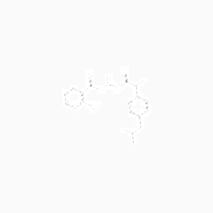 CC(C)Cc1ccc(C(C)C(=O)ONOC(=O)c2ccccc2O)cc1